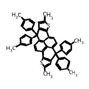 Cc1ccc(C2(c3ccc(C)cc3)c3cc(C)sc3-c3ccc4c5c(ccc2c35)-c2sc(C)cc2C4(c2ccc(C)cc2)c2ccc(C)cc2)cc1